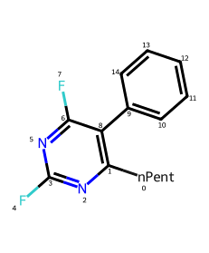 CCCCCc1nc(F)nc(F)c1-c1ccccc1